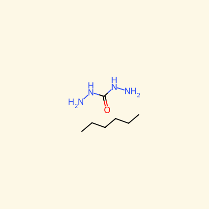 CCCCCC.NNC(=O)NN